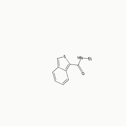 CCNC(=O)c1scc2ccccc12